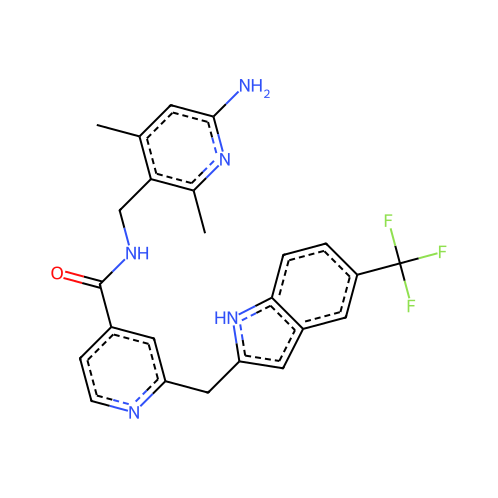 Cc1cc(N)nc(C)c1CNC(=O)c1ccnc(Cc2cc3cc(C(F)(F)F)ccc3[nH]2)c1